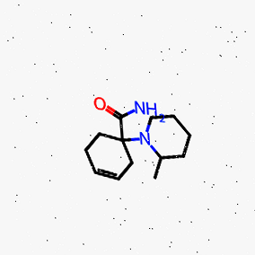 CC1CCCCN1C1(C(N)=O)CC=CCC1